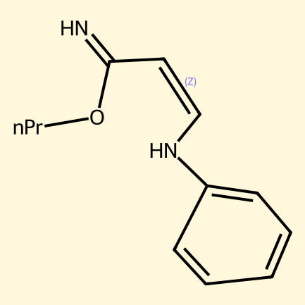 CCCOC(=N)/C=C\Nc1ccccc1